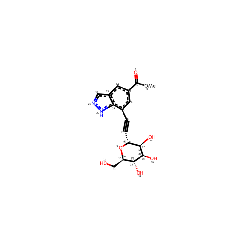 COC(=O)c1cc(C#C[C@H]2O[C@H](CO)[C@@H](O)[C@H](O)[C@@H]2O)c2[nH]ncc2c1